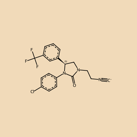 [C-]#[N+]CCN1C[C@H](c2cccc(C(F)(F)F)c2)N(c2ccc(Cl)cc2)C1=O